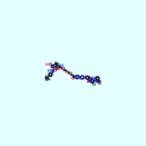 COc1cc(N2CCC(N3CCN(C(=O)CCOCCOCCOCCC(=O)N[C@H](C(=O)N4C[C@H](O)C[C@H]4C(=O)NCc4ccc(-c5scnc5C)cc4)C(C)(C)C)CC3)CC2)ccc1Nc1ncc(Cl)c(Nc2ccccc2P(C)(C)=O)n1